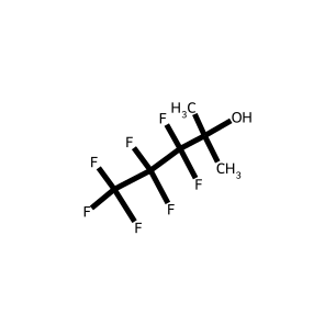 CC(C)(O)C(F)(F)C(F)(F)C(F)(F)F